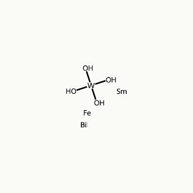 [Bi].[Fe].[OH][W]([OH])([OH])[OH].[Sm]